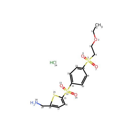 CCOCCS(=O)(=O)c1ccc(S(=O)(=O)c2ccc(CN)s2)cc1.Cl